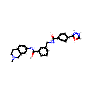 CN1CCc2ccc(NC(=O)c3cccc(CNC(=O)c4ccc(-c5nnco5)cc4)c3)cc2C1